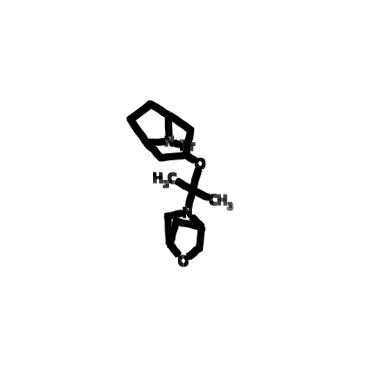 CC(C)N1C2CCC1CC(OC(C)(C)N1CC3CC1CO3)C2